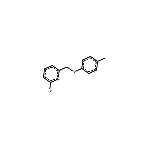 Cc1ccc(NCc2cccc(Br)n2)cc1